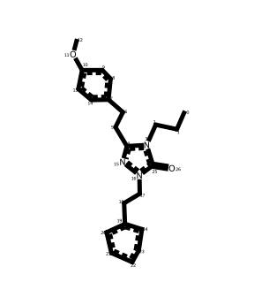 CCCn1c(CCc2ccc(OC)cc2)nn(CCc2ccccc2)c1=O